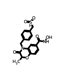 CC1Oc2ccc(C(=O)NO)cc2N(Cc2ccc(C[SH](=O)=O)cc2)C1=O